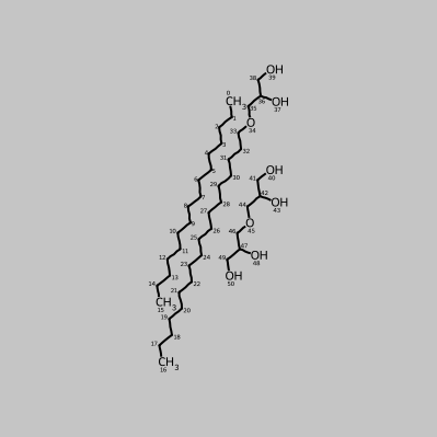 CCCCCCCCCCCCCCCC.CCCCCCCCCCCCCCCCCCOCC(O)CO.OCC(O)COCC(O)CO